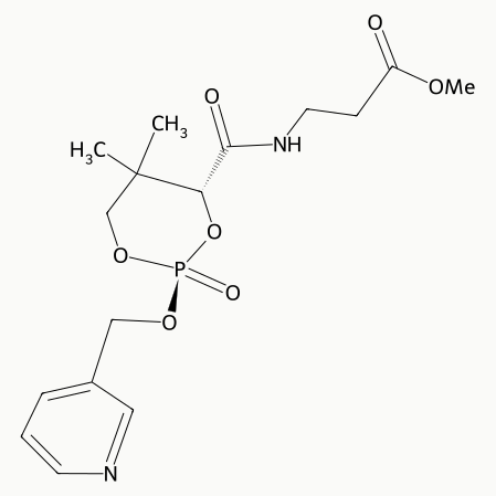 COC(=O)CCNC(=O)[C@@H]1O[P@@](=O)(OCc2cccnc2)OCC1(C)C